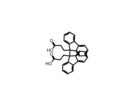 O=C(O)CCC1(C2(CCC(=O)O)c3ccccc3-c3ccccc32)c2ccccc2-c2ccccc21